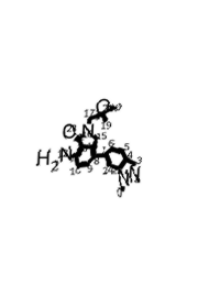 Cn1ncc2ccc(-c3ccc(N)c4c3CN(CC3(C)CO3)C4=O)cc21